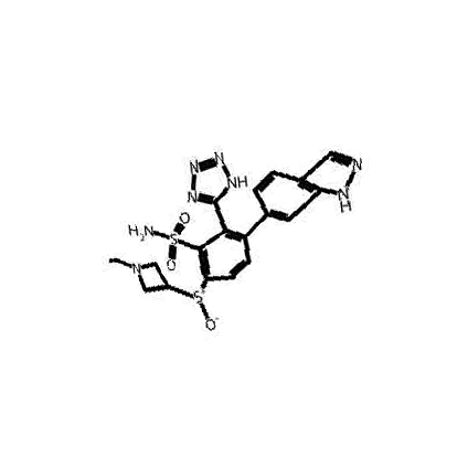 CN1CC([S+]([O-])c2ccc(-c3ccc4cn[nH]c4c3)c(-c3nnn[nH]3)c2S(N)(=O)=O)C1